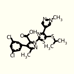 Cc1nn(-c2nc(-c3cnn(C)c3)c(SC(C)C)s2)c(C(=O)O)c1-c1cc(Cl)cc(Cl)c1